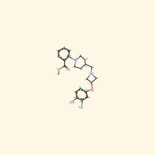 COC(=O)c1ccccc1N1CCC(CN2CC(Oc3ccc(Cl)c(Cl)c3)C2)CC1